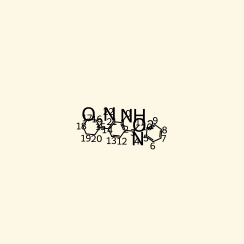 Nc1c(-c2nc3ccccc3o2)ccc(C2CCCCC2)c1[N+](=O)[O-]